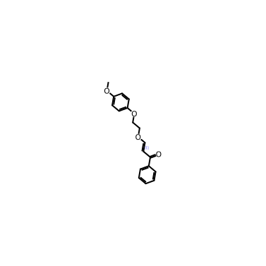 COc1ccc(OCCO/C=C/C(=O)c2ccccc2)cc1